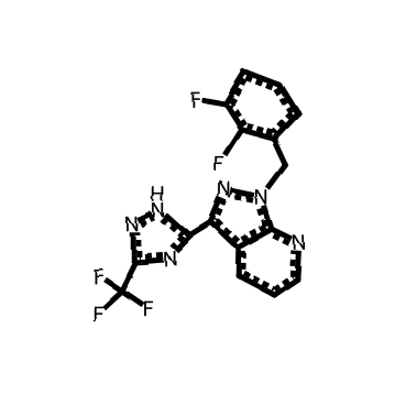 Fc1cccc(Cn2nc(-c3nc(C(F)(F)F)n[nH]3)c3cccnc32)c1F